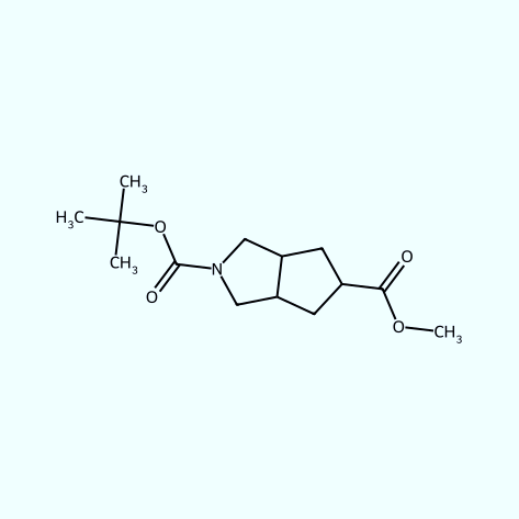 COC(=O)C1CC2CN(C(=O)OC(C)(C)C)CC2C1